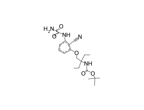 CCC(CC)(COc1cccc(NS(N)(=O)=O)c1C#N)NC(=O)OC(C)(C)C